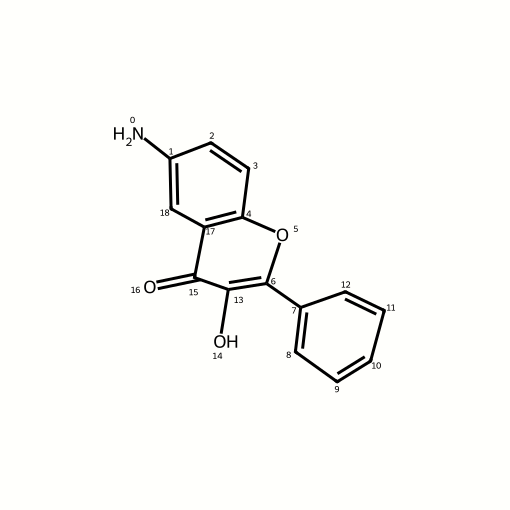 Nc1ccc2oc(-c3ccccc3)c(O)c(=O)c2c1